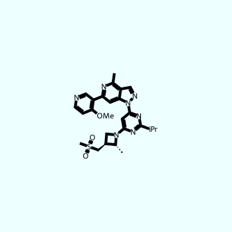 COc1ccncc1-c1cc2c(cnn2-c2cc(N3C[C@H](CS(C)(=O)=O)[C@H]3C)nc(C(C)C)n2)c(C)n1